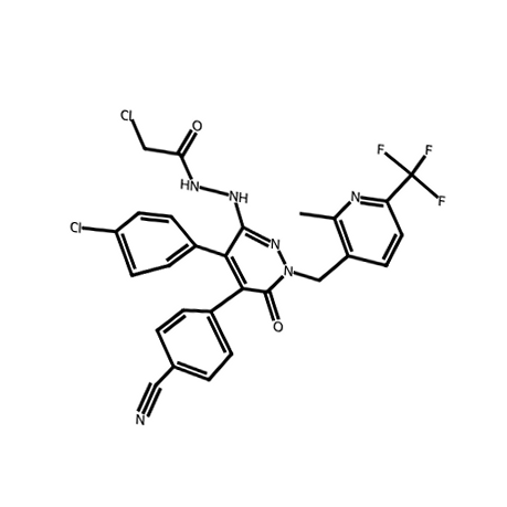 Cc1nc(C(F)(F)F)ccc1Cn1nc(NNC(=O)CCl)c(-c2ccc(Cl)cc2)c(-c2ccc(C#N)cc2)c1=O